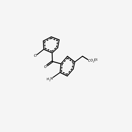 CCOC(=O)Cc1ccc(N)c(C(=O)c2ccccc2Cl)c1